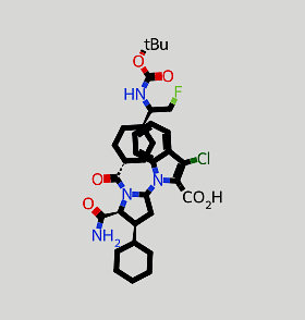 CC(C)(C)OC(=O)NC(CF)[C@H]1CC[C@H](C(=O)N2C(n3c(C(=O)O)c(Cl)c4ccccc43)C[C@@H](C3CCCCC3)[C@H]2C(N)=O)CC1